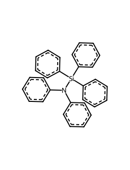 c1ccc(N(c2ccccc2)[Si](c2ccccc2)(c2ccccc2)c2ccccc2)cc1